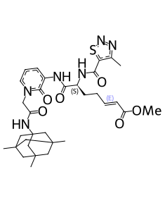 COC(=O)/C=C/CC[C@H](NC(=O)c1snnc1C)C(=O)Nc1cccn(CC(=O)NC23CC4(C)CC(C)(CC(C)(C4)C2)C3)c1=O